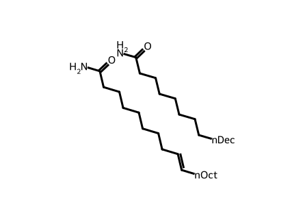 CCCCCCCCC=CCCCCCCCC(N)=O.CCCCCCCCCCCCCCCCCC(N)=O